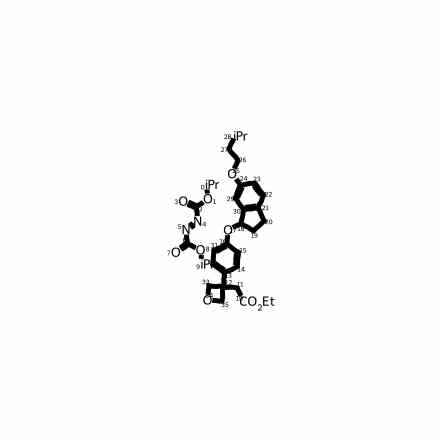 CC(C)OC(=O)N=NC(=O)OC(C)C.CCOC(=O)CC1(c2ccc(OC3CCc4ccc(OCCC(C)C)cc43)cc2)COC1